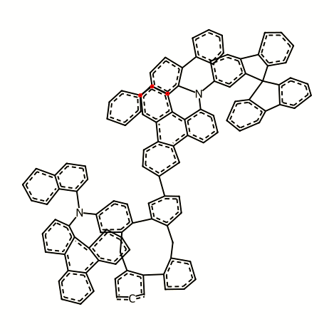 c1ccc(-c2ccc(-c3ccccc3)c(N(c3ccc4c(c3)C3(c5ccccc5-c5ccccc53)c3ccccc3-4)c3cccc4c5cc(-c6ccc7c(c6)-c6ccc(N(c8cccc9ccccc89)c8cccc9c%10ccccc%10c%10ccccc%10c89)cc6Cc6ccccc6-c6ccccc6C7)ccc5c5ccccc5c34)c2)cc1